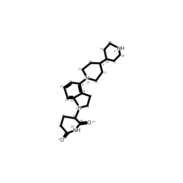 O=C1CCC(N2CCc3c(N4CCC(C5CCNCC5)CC4)cccc32)C(=O)N1